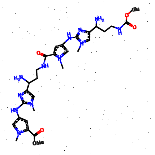 COC(=O)c1cc(Nc2nc(C(N)CCNC(=O)c3cc(Nc4nc(C(N)CCNC(=O)OC(C)(C)C)cn4C)cn3C)cn2C)cn1C